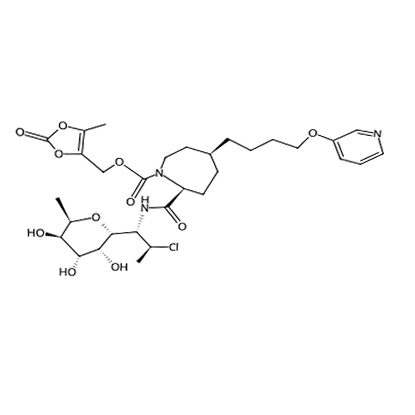 Cc1oc(=O)oc1COC(=O)N1CC[C@@H](CCCCOc2cccnc2)CC[C@H]1C(=O)N[C@@H]([C@H]1O[C@H](C)[C@H](O)[C@@H](O)[C@H]1O)[C@H](C)Cl